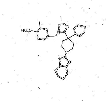 Cc1cc(Cn2ccnc2C2(c3ccccc3)CCN(c3nc4ccccc4o3)CC2)ccc1C(=O)O